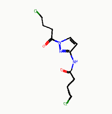 O=C(CCCCl)Nc1ccn(C(=O)CCCCl)n1